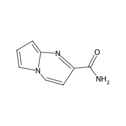 NC(=O)c1ccn2cccc2n1